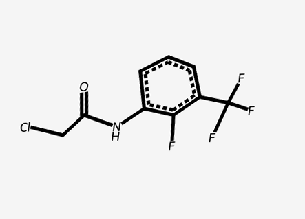 O=C(CCl)Nc1cccc(C(F)(F)F)c1F